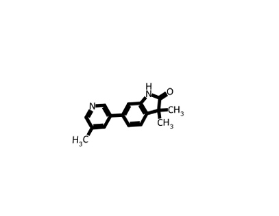 Cc1cncc(-c2ccc3c(c2)NC(=O)C3(C)C)c1